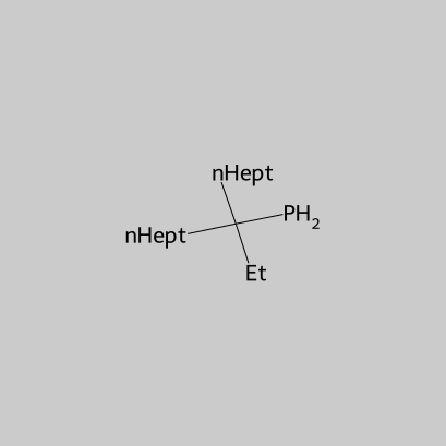 CCCCCCCC(P)(CC)CCCCCCC